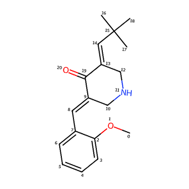 COc1ccccc1C=C1CNCC(=CC(C)(C)C)C1=O